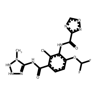 CN1NNN=C1NC(=O)c1ccc(OC(F)F)c(NC(=O)c2ncon2)c1Cl